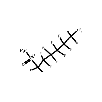 NS(=O)(=O)C(F)(F)C(F)(F)C(F)(F)C(F)(F)C(F)(F)C(F)(F)C(F)(F)F